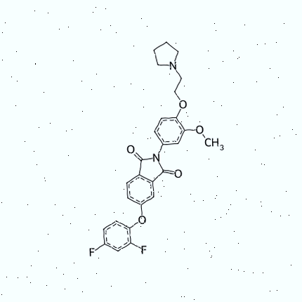 COc1cc(N2C(=O)c3ccc(Oc4ccc(F)cc4F)cc3C2=O)ccc1OCCN1CCCC1